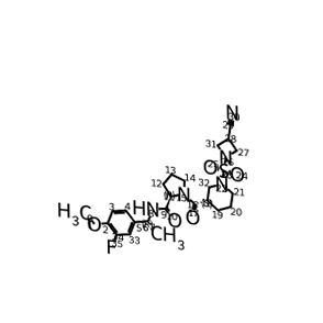 COc1ccc([C@@H](C)NC(=O)[C@H]2CCCN2C(=O)[C@H]2CCCN(S(=O)(=O)N3CC(C#N)C3)C2)cc1F